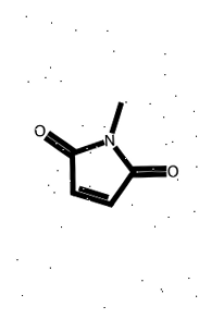 [CH2]N1C(=O)C=CC1=O